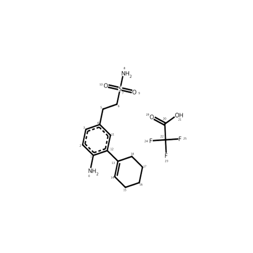 Nc1ccc(CCS(N)(=O)=O)cc1C1=CCCCC1.O=C(O)C(F)(F)F